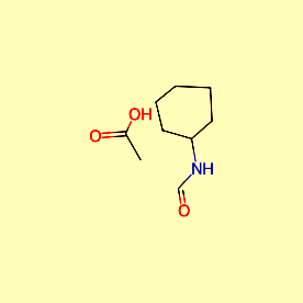 CC(=O)O.O=CNC1CCCCC1